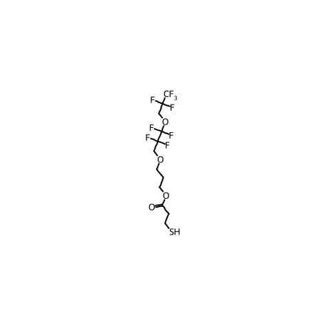 O=C(CCS)OCCCOCC(F)(F)C(F)(F)OCC(F)(F)C(F)(F)F